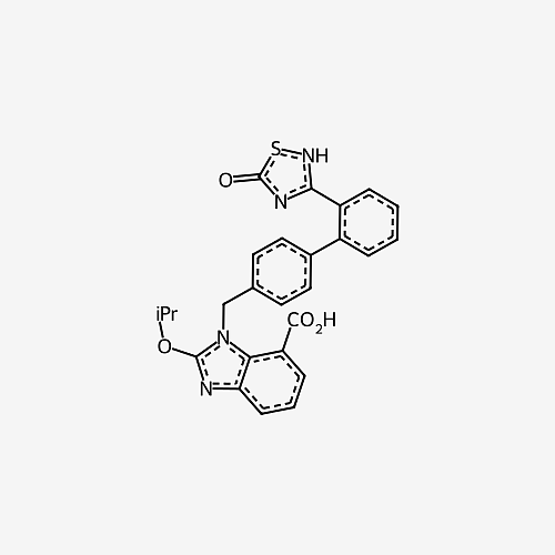 CC(C)Oc1nc2cccc(C(=O)O)c2n1Cc1ccc(-c2ccccc2-c2nc(=O)s[nH]2)cc1